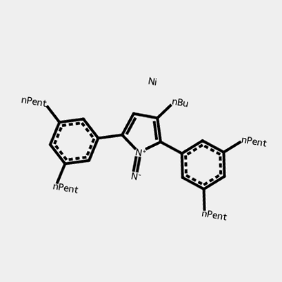 CCCCCc1cc(CCCCC)cc(C2=CC(CCCC)=C(c3cc(CCCCC)cc(CCCCC)c3)[N+]2=[N-])c1.[Ni]